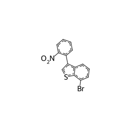 O=[N+]([O-])c1ccccc1-c1csc2c(Br)cccc12